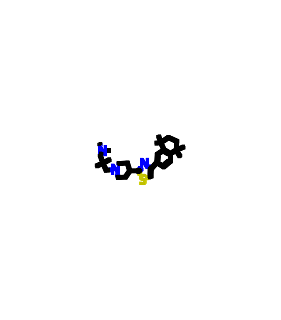 CN(C)CC(C)(C)CN1CCC(c2nc(-c3ccc4c(c3)C(C)(C)CCC4(C)C)cs2)CC1